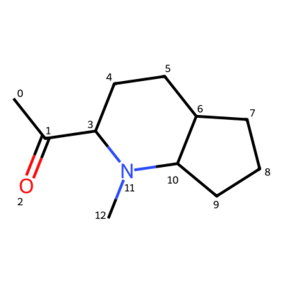 CC(=O)C1CCC2CCCC2N1C